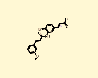 COc1cccc(CCC(=O)Nc2cc(/C=C/C(=O)O)ccc2Br)c1